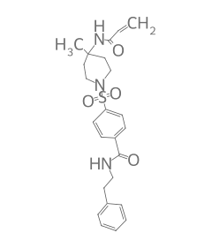 C=CC(=O)NC1(C)CCN(S(=O)(=O)c2ccc(C(=O)NCCc3ccccc3)cc2)CC1